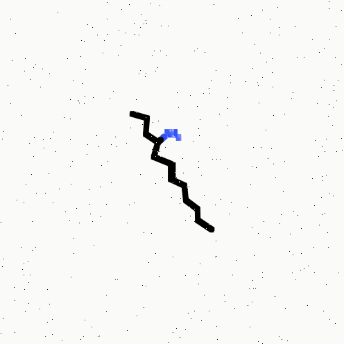 CCCCCC=CCC(N)CCC